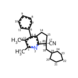 Cc1nc2c(c(-c3ccccc3)c1C)CC[C@@]2(C#N)CC1CCCCC1